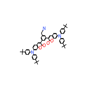 CC(C)(C)c1ccc(N(c2ccc(C(C)(C)C)cc2)c2ccc3cc(-c4cc(CC#N)cc(-c5cc6ccc(N(c7ccc(C(C)(C)C)cc7)c7ccc(C(C)(C)C)cc7)cc6oc5=O)c4)c(=O)oc3c2)cc1